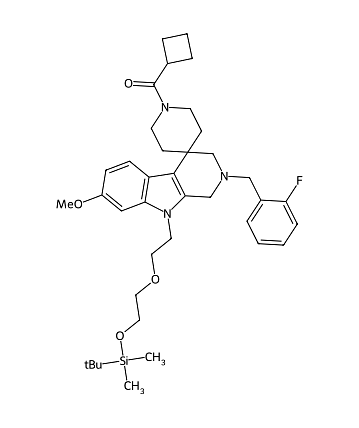 COc1ccc2c3c(n(CCOCCO[Si](C)(C)C(C)(C)C)c2c1)CN(Cc1ccccc1F)CC31CCN(C(=O)C2CCC2)CC1